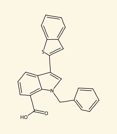 O=C(O)c1cccc2c(-c3cc4ccccc4s3)cn(Cc3ccccc3)c12